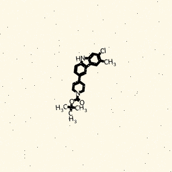 Cc1cc2c(cc1Cl)[nH]c1ccc(C3=CCN(C(=O)OC(C)(C)C)CC3)cc12